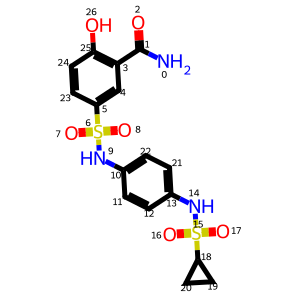 NC(=O)c1cc(S(=O)(=O)Nc2ccc(NS(=O)(=O)C3CC3)cc2)ccc1O